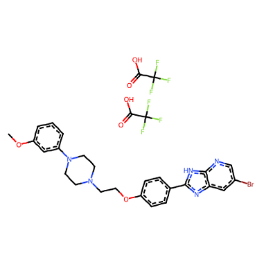 COc1cccc(N2CCN(CCOc3ccc(-c4nc5cc(Br)cnc5[nH]4)cc3)CC2)c1.O=C(O)C(F)(F)F.O=C(O)C(F)(F)F